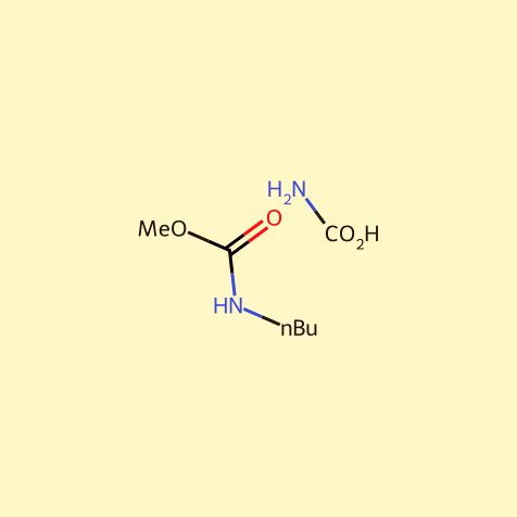 CCCCNC(=O)OC.NC(=O)O